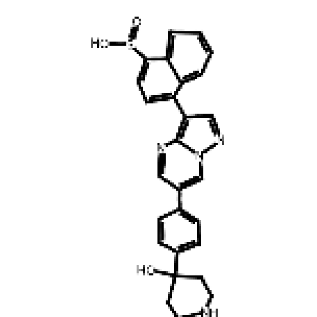 O=S(O)c1ccc(-c2cnn3cc(-c4ccc(C5(O)CCNCC5)cc4)cnc23)c2ccccc12